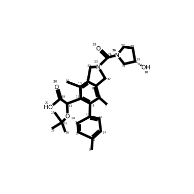 Cc1ccc(-c2c(C)c3c(c(C)c2C(OC(C)(C)C)C(=O)O)CN(C(=O)N2CC[C@H](O)C2)C3)cc1